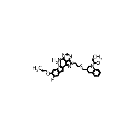 C=CCOc1cc2[nH]c(-c3nn(CCSCC4Cc5ccccc5N(C(=O)C=C)C4)c4ncnc(N)c34)cc2cc1F